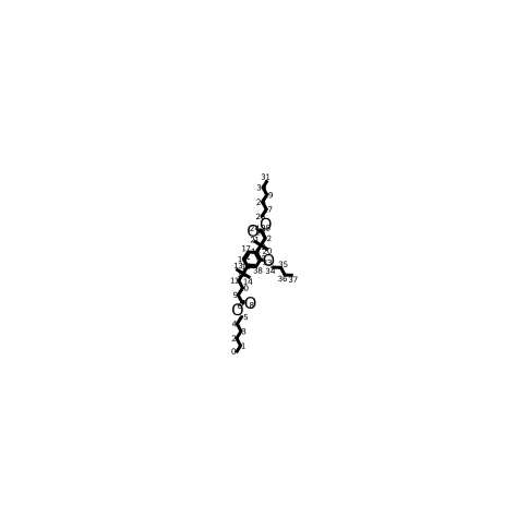 CCCCCCOC(=O)CCCC(C)(C)c1[c]cc(C(C)(C)CC(=O)OCCCCCC)c(OCCCC)c1